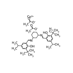 CC(=O)[O-].CC(=O)[O-].CC(C)c1cc(C=NC2CCCC(N=Cc3cc(C(C)C)cc(C(C)(C)C)c3O)C2)c(O)c(C(C)(C)C)c1.[Co+2]